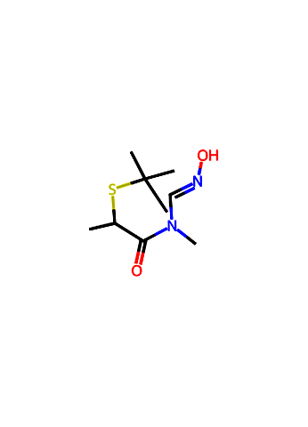 CC(SC(C)(C)C)C(=O)N(C)C=NO